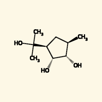 C[C@@H]1C[C@H](C(C)(C)O)[C@@H](O)[C@H]1O